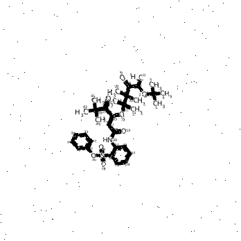 CC(OC(C)(C)C)C(=O)C(C)(C)C(C)(C)OC(CC(=O)Nc1ccccc1S(=O)(=O)Oc1ccccc1)C(=O)C(C)(C)C